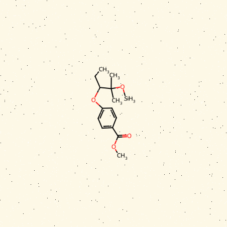 CCC(Oc1ccc(C(=O)OC)cc1)C(C)(C)O[SiH3]